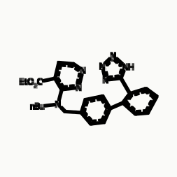 CCCCN(Cc1ccc(-c2ccccc2-c2nnn[nH]2)cc1)c1nnccc1C(=O)OCC